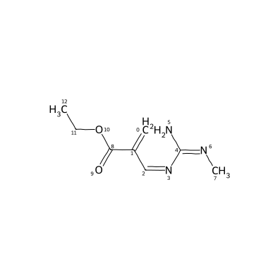 C=C(/C=N\C(N)=N/C)C(=O)OCC